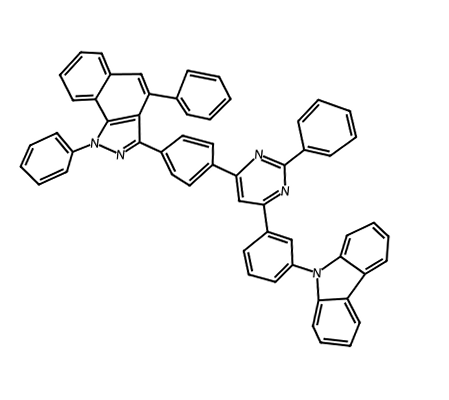 c1ccc(-c2nc(-c3ccc(-c4nn(-c5ccccc5)c5c4c(-c4ccccc4)cc4ccccc45)cc3)cc(-c3cccc(-n4c5ccccc5c5ccccc54)c3)n2)cc1